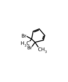 CC1(Br)C=CC=CC1(C)Br